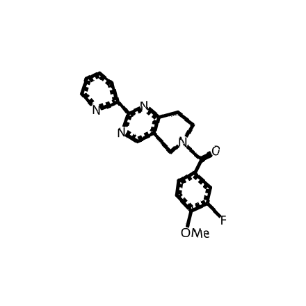 COc1ccc(C(=O)N2CCc3nc(-c4ccccn4)ncc3C2)cc1F